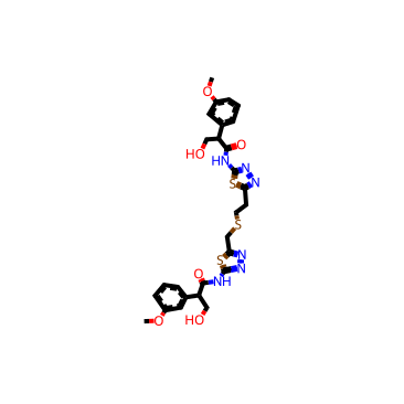 COc1cccc(C(CO)C(=O)Nc2nnc(CCSCc3nnc(NC(=O)C(CO)c4cccc(OC)c4)s3)s2)c1